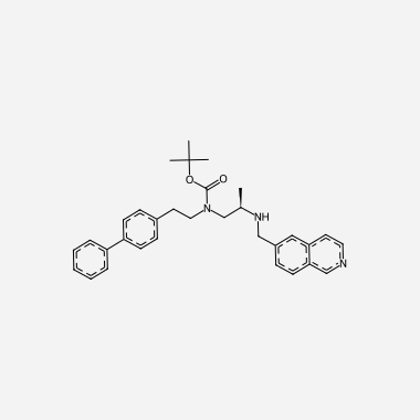 C[C@H](CN(CCc1ccc(-c2ccccc2)cc1)C(=O)OC(C)(C)C)NCc1ccc2cnccc2c1